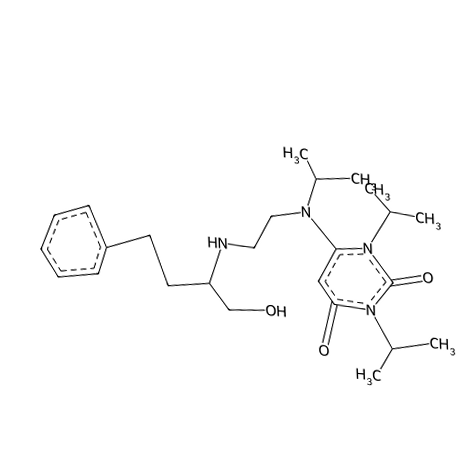 CC(C)N(CCNC(CO)CCc1ccccc1)c1cc(=O)n(C(C)C)c(=O)n1C(C)C